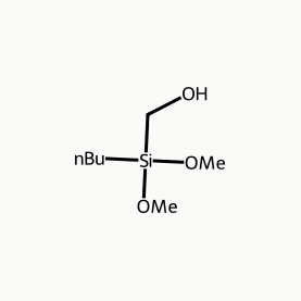 CCCC[Si](CO)(OC)OC